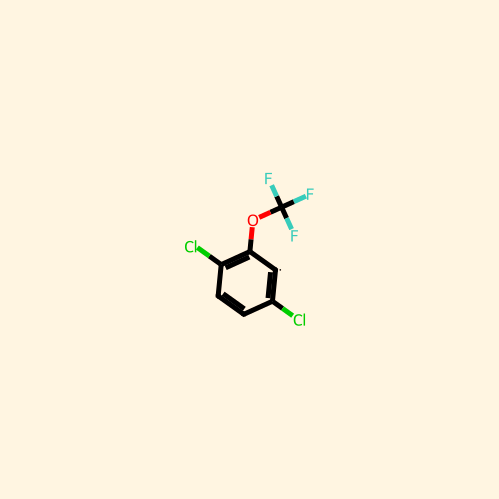 FC(F)(F)Oc1[c]c(Cl)ccc1Cl